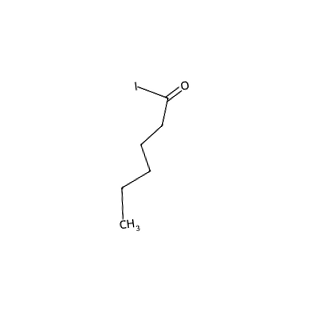 CCCCCC(=O)I